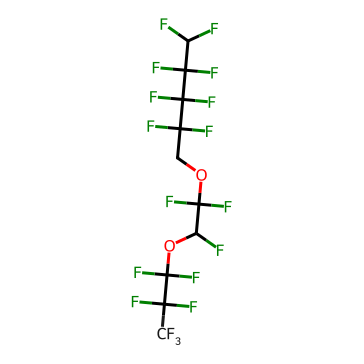 FC(OC(F)(F)C(F)(F)C(F)(F)F)C(F)(F)OCC(F)(F)C(F)(F)C(F)(F)C(F)F